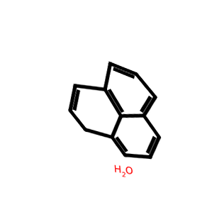 C1=Cc2cccc3cccc(c23)C1.O